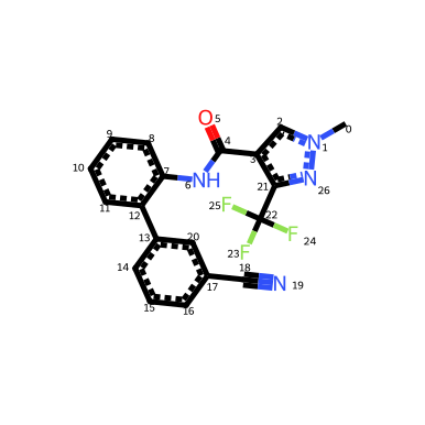 Cn1cc(C(=O)Nc2ccccc2-c2cccc(C#N)c2)c(C(F)(F)F)n1